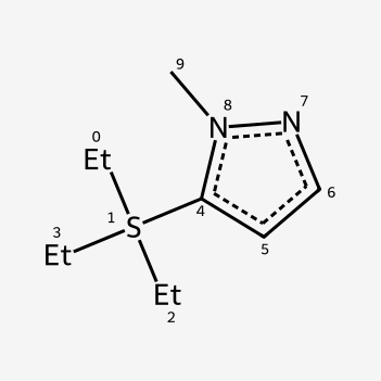 CCS(CC)(CC)c1ccnn1C